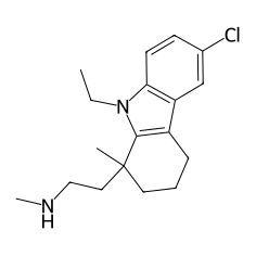 CCn1c2c(c3cc(Cl)ccc31)CCCC2(C)CCNC